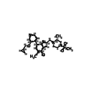 C[C@@H]1CN(S(C)(=O)=O)CCN1Cc1cc2c(=O)n(C)cc(-c3ccncc3OCC3CC3)c2s1